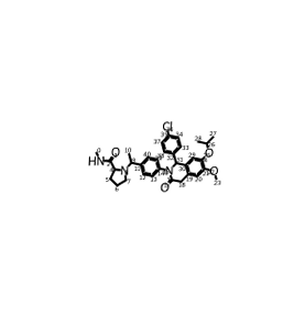 CNC(=O)C1CCCN1C(C)c1ccc(N2C(=O)Cc3cc(OC)c(OC(C)C)cc3C2c2ccc(Cl)cc2)cc1